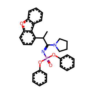 CC(C(=NP(=O)(Oc1ccccc1)Oc1ccccc1)N1CCCC1)c1cccc2oc3ccccc3c12